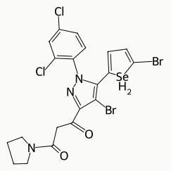 O=C(CC(=O)N1CCCC1)c1nn(-c2ccc(Cl)cc2Cl)c(C2=CC=C(Br)[SeH2]2)c1Br